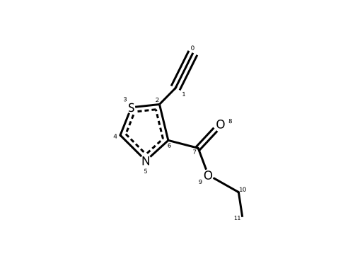 C#Cc1scnc1C(=O)OCC